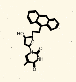 Cc1cn([C@H]2CC(O)[C@@H](CCc3c4ccccc4cc4ccccc34)O2)c(=O)[nH]c1=O